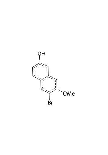 COc1cc2cc(O)ccc2cc1Br